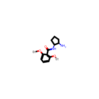 CCOc1cccc(OCC)c1C(=O)N[C@H]1CCC[C@H]1N